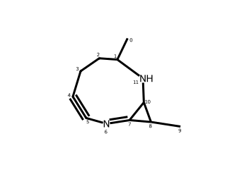 CC1CCC#C/N=C2/C(C)C2N1